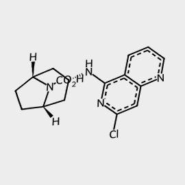 O=C(O)N1[C@@H]2CC[C@H]1C[C@@H](Nc1nc(Cl)cc3ncccc13)C2